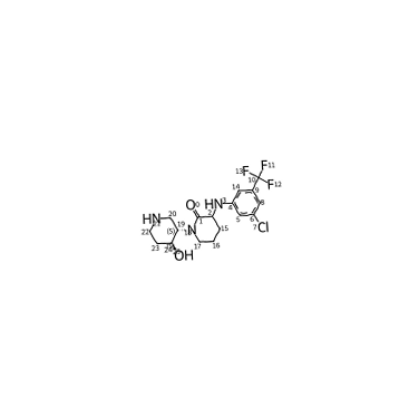 O=C1C(Nc2cc(Cl)cc(C(F)(F)F)c2)CCCN1[C@H]1CNCC[C@@H]1O